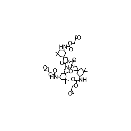 CC1(C)CC(NC(=O)OCC2CO2)CC(C)(Cn2c(=O)n(CC3(C)CC(NC(=O)OCC4CO4)CC(C)(C)C3)c(=O)n(CC3(C)CC(NC(=O)OC4COC4)CC(C)(C)C3)c2=O)C1